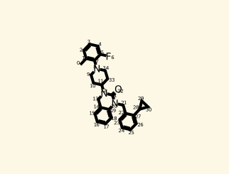 Cc1cccc(F)c1N1CCC(N2Cc3ccccc3N(Cc3ccccc3C3CC3)C2=O)CC1